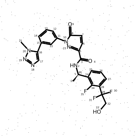 C[C@@H](NC(=O)c1ccc(=O)n(-c2cccc(-c3cnnn3C)c2)n1)c1cccc(C(F)(F)CO)c1F